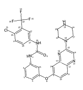 O=C(Nc1cccc(Oc2ccc3ncc(N4CCNCC4)nc3c2)c1)Nc1ccc(Cl)c(C(F)(F)F)c1